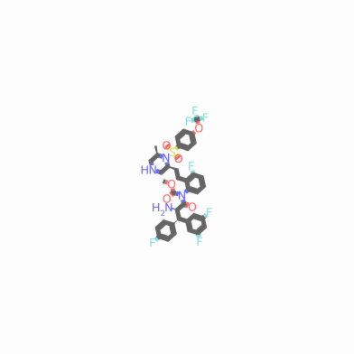 COC(=O)N(C(=O)[C@@H](N)[C@@H](c1ccc(F)cc1)c1cc(F)cc(F)c1)c1cccc(F)c1CC[C@H]1CNC[C@@H](C)N1S(=O)(=O)c1ccc(OC(F)(F)F)cc1